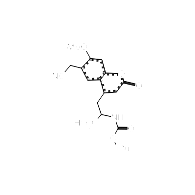 COc1cc2oc(=O)cc(CC(NC(=O)OC(C)(C)C)C(=O)O)c2cc1CC#N